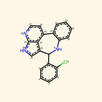 Clc1ccccc1C1Nc2ccccc2-c2ccnc3[nH]cc1c23